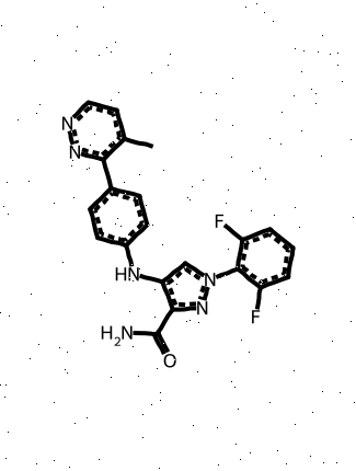 Cc1ccnnc1-c1ccc(Nc2cn(-c3c(F)cccc3F)nc2C(N)=O)cc1